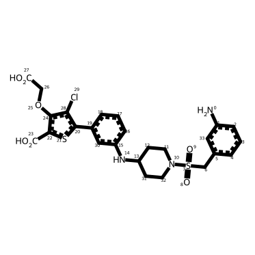 Nc1cccc(CS(=O)(=O)N2CCC(Nc3cccc(-c4sc(C(=O)O)c(OCC(=O)O)c4Cl)c3)CC2)c1